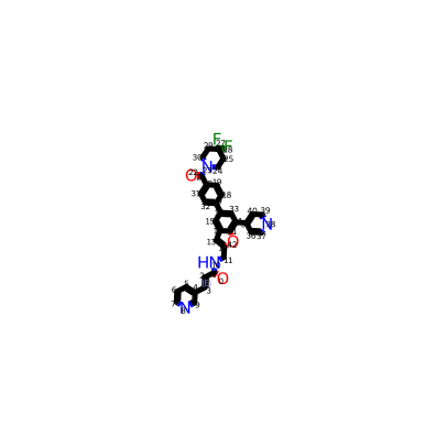 O=C(/C=C/c1cccnc1)NCc1cc2cc(-c3ccc(C(=O)N4CCC(F)(F)CC4)cc3)cc(-c3ccncc3)c2o1